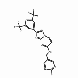 Cc1ncc(CNC(=O)/C=C\n2cnc(-c3cc(C(F)(F)F)cc(C(F)(F)F)c3)n2)cn1